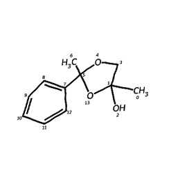 CC1(O)COC(C)(c2ccccc2)O1